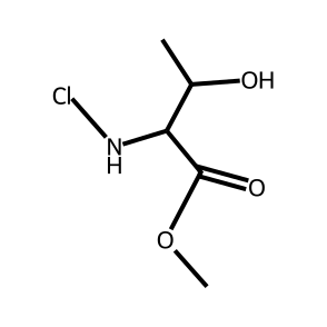 COC(=O)C(NCl)C(C)O